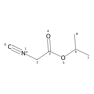 [C-]#[N+]CC(=O)OC(C)C